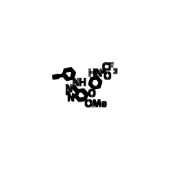 C#Cc1cccc(Nc2ncnc3cc(OC)c(O[C@H]4CC[C@@H](NC(=O)C(F)(F)F)CC4)cc23)c1